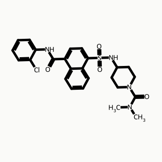 CN(C)C(=O)N1CCC(NS(=O)(=O)c2ccc(C(=O)Nc3ccccc3Cl)c3ccccc23)CC1